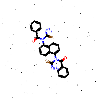 NC(=S)N(C(=O)c1ccccc1)c1cccc2c(N(C(=O)c3ccccc3)C(N)=S)cccc12